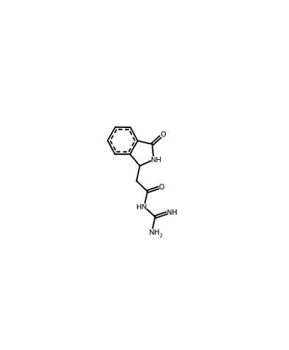 N=C(N)NC(=O)CC1NC(=O)c2ccccc21